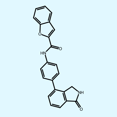 O=C(Nc1ccc(-c2cccc3c2CNC3=O)cc1)c1cc2ccccc2o1